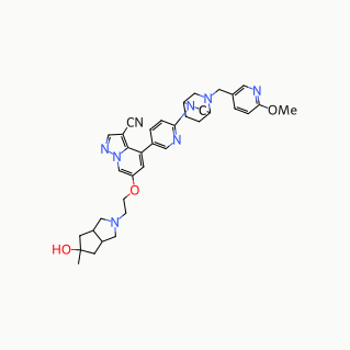 COc1ccc(CN2CC3CCC2CN3c2ccc(-c3cc(OCCN4CC5CC(C)(O)CC5C4)cn4ncc(C#N)c34)cn2)cn1